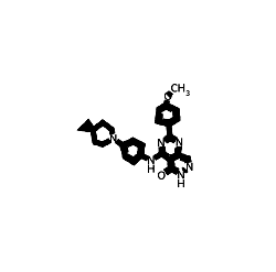 COc1ccc(-c2nc(Nc3ccc(N4CCC5(CC4)CC5)cc3)c3c(=O)[nH]ncc3n2)cc1